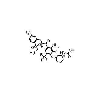 CCS(=O)(=O)c1ccc(C)cc1CNC(=O)c1cc(C(F)(F)F)c(CN2CCC[C@@H](NC(=O)O)C2)c(Cl)c1N